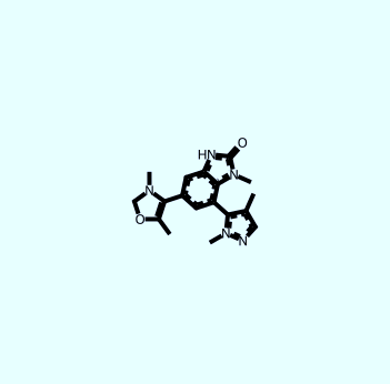 CC1=C(c2cc(-c3c(C)cnn3C)c3c(c2)[nH]c(=O)n3C)N(C)CO1